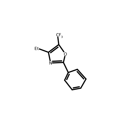 CCc1nc(-c2ccccc2)oc1C(F)(F)F